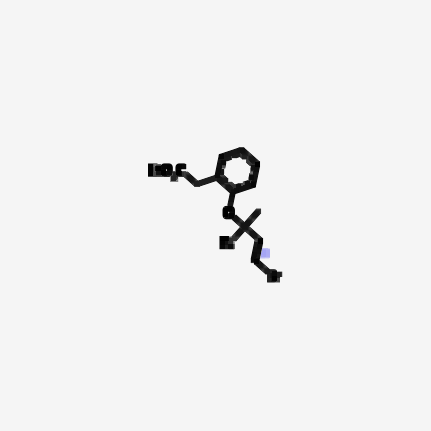 CCOC(=O)Cc1ccccc1OC(C)(/C=C/Br)CC